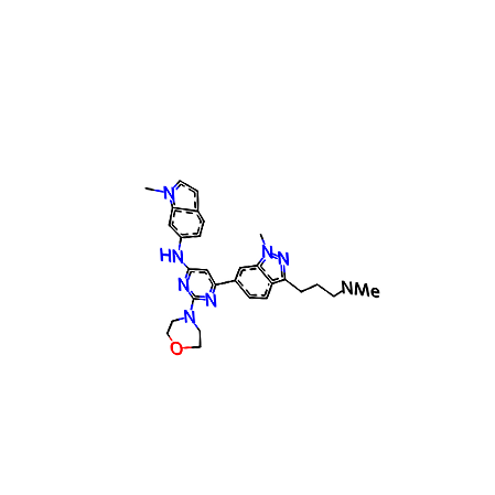 CNCCCc1nn(C)c2cc(-c3cc(Nc4ccc5ccn(C)c5c4)nc(N4CCOCC4)n3)ccc12